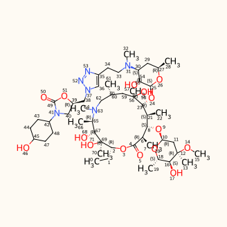 CC[C@H]1OC(=O)[C@H](C)[C@@H](O[C@H]2C[C@@](C)(OC)[C@@H](O)[C@H](C)O2)[C@H](C)[C@@H](O[C@@H]2O[C@H](C)C[C@H](N(C)CCc3cn(C[C@H]4CN(C5CCC(O)CC5)C(=O)O4)nn3)[C@H]2O)[C@](C)(O)C[C@@H](C)CN(C)[C@H](C)[C@@H](O)[C@]1(C)O